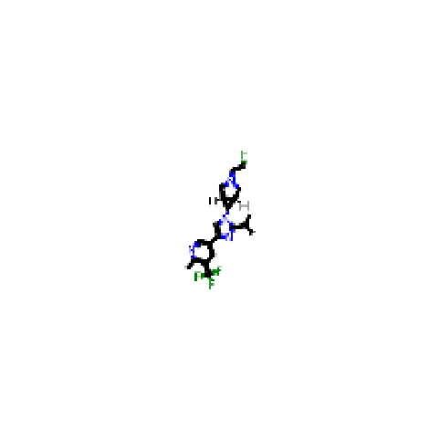 Cc1ncc(-c2cn([C@H]3[C@@H]4CN(CCF)C[C@@H]43)c(C(C)C)n2)cc1C(F)(F)F